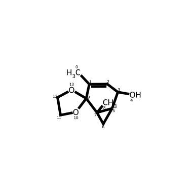 CC1=CC(O)C2CC2(C)C12OCCO2